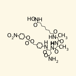 C[C@H](NC(=O)CCCCCCC(=O)NO)C(=O)N[C@@H](C)C(=O)N[C@@H](CC(N)=O)C(=O)Nc1ccc(COC(=O)Oc2ccc([N+](=O)[O-])cc2)cc1